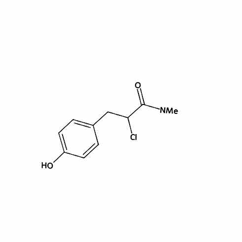 CNC(=O)C(Cl)Cc1ccc(O)cc1